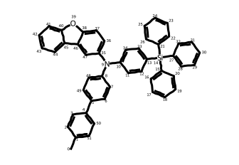 Cc1ccc(-c2ccc(N(c3ccc([Si](c4ccccc4)(c4ccccc4)c4ccccc4)cc3)c3ccc4oc5ccccc5c4c3)cc2)cc1